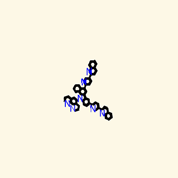 c1ccc2nc(-c3ccc(-c4ccc5c(c4)c4cc(-c6ccc(-c7ccc8ccccc8n7)cn6)c6ccccc6c4n5-c4cc5cccnc5c5ncccc45)nc3)ccc2c1